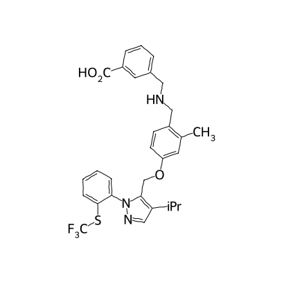 Cc1cc(OCc2c(C(C)C)cnn2-c2ccccc2SC(F)(F)F)ccc1CNCc1cccc(C(=O)O)c1